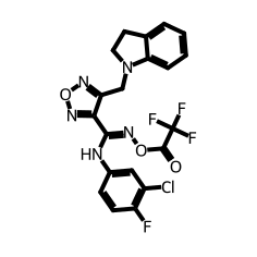 O=C(ON=C(Nc1ccc(F)c(Cl)c1)c1nonc1CN1CCc2ccccc21)C(F)(F)F